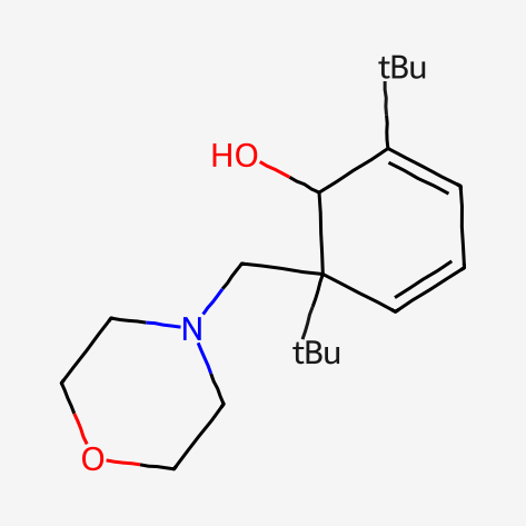 CC(C)(C)C1=CC=CC(CN2CCOCC2)(C(C)(C)C)C1O